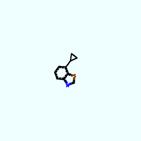 c1cc(C2CC2)c2scnc2c1